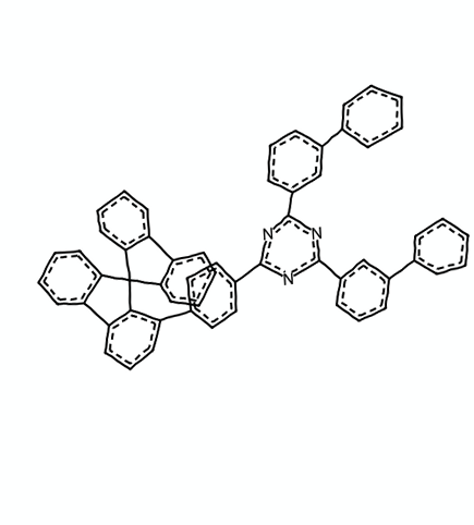 c1ccc(-c2cccc(-c3nc(-c4ccc(-c5cccc6c5C5(c7ccccc7-c7ccccc75)c5ccccc5-6)cc4)nc(-c4cccc(-c5ccccc5)c4)n3)c2)cc1